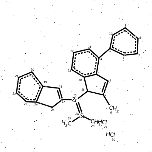 CC1=Cc2c(-c3ccccc3)cccc2[CH]1[Zr]([C]1=Cc2ccccc2C1)=[Si](C)C.Cl.Cl